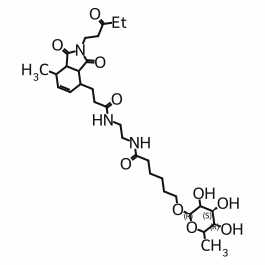 CCC(=O)CCN1C(=O)C2C(C)C=CC(CCC(=O)NCCNC(=O)CCCCCO[C@@H]3OC(C)[C@H](O)[C@H](O)C3O)C2C1=O